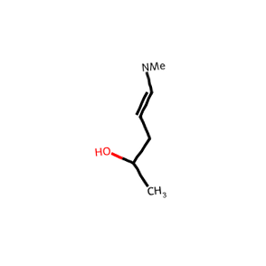 CNC=CCC(C)O